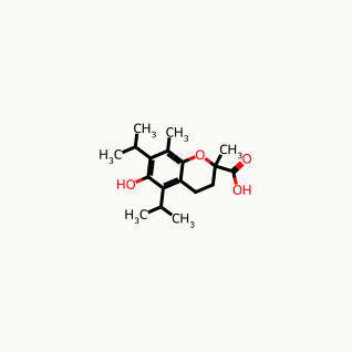 Cc1c2c(c(C(C)C)c(O)c1C(C)C)CCC(C)(C(=O)O)O2